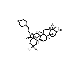 C=C(NCCN1CCNCC1)[C@]12CCC(C)(C)C[C@H]1C1=CC[C@@H]3[C@@]4(C)CC[C@H](O)C(C)(C)[C@@H]4CC[C@@]3(C)[C@]1(C)CC2